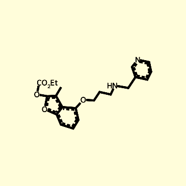 CCOC(=O)Oc1oc2cccc(OCCCNCc3cccnc3)c2c1C